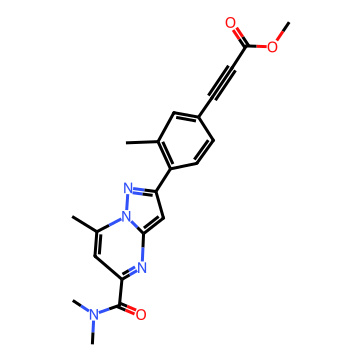 COC(=O)C#Cc1ccc(-c2cc3nc(C(=O)N(C)C)cc(C)n3n2)c(C)c1